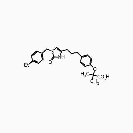 CCc1ccc(Cn2cc(CCCc3ccc(OC(C)(C)C(=O)O)cc3)[nH]c2=O)cc1